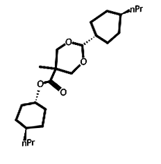 CCC[C@H]1CC[C@H](OC(=O)C2(C)COC([C@H]3CC[C@H](CCC)CC3)OC2)CC1